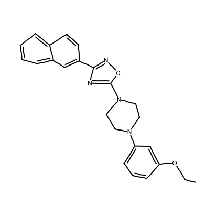 CCOc1cccc(N2CCN(c3nc(-c4ccc5ccccc5c4)no3)CC2)c1